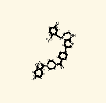 O=C(c1ccc(-c2cnc3c(c2)N(Cc2cc(Cl)ccc2C(F)(F)F)CCN3)cc1)N1CCN(c2noc3cc(F)ccc23)CC1